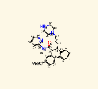 COc1ccc(-c2ccccc2C(CCCN2CCNCC2)CC(=O)N(C)c2ccccn2)cc1